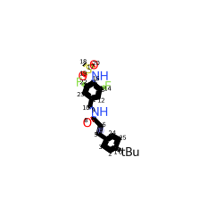 CC(C)(C)c1ccc(/C=C/C(=O)NCc2cc(F)c(NS(C)(=O)=O)c(F)c2)cc1